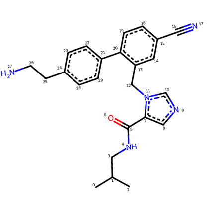 CC(C)CNC(=O)c1cncn1Cc1cc(C#N)ccc1-c1ccc(CCN)cc1